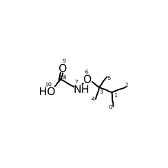 CC(C)C(C)(C)ONC(=O)O